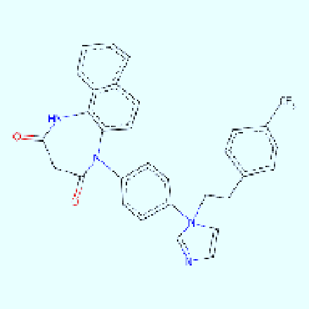 O=C1CC(=O)N(c2ccc([N+]3(CCc4ccc(C(F)(F)F)cc4)C=CN=C3)cc2)c2ccc3ccccc3c2N1